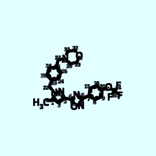 Cc1cc(-c2nc(-c3ccc(OC(F)(F)F)cc3)no2)nn1Cc1ccc(CN2CCOCC2)cc1